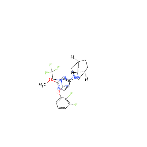 COc1cc(N2C[C@H]3CC[C@@H](C2)[C@@H]3Nc2nc(Oc3cccc(F)c3F)n(CC(F)(F)F)n2)ccn1